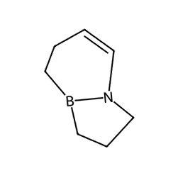 C1=CN2CCCB2CC1